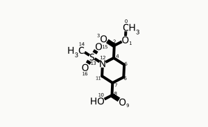 COC(=O)C1CCC(C(=O)O)CN1S(C)(=O)=O